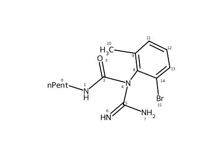 CCCCCNC(=O)N(C(=N)N)c1c(C)cccc1Br